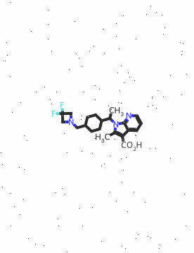 Cc1c(C(=O)O)c2cccnc2n1C(C)C1CCC(CN2CC(F)(F)C2)CC1